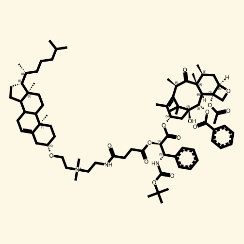 CC(=O)O[C@@]12CO[C@@H]1C[C@H](C)[C@@]1(C)C(=O)[C@H](C)C3=C(C)[C@@H](OC(=O)[C@H](OC(=O)CCC(=O)NCC[N+](C)(C)CCO[C@H]4CC[C@@]5(C)C(=CCC6C5CC[C@@]5(C)C6CC[C@@H]5[C@H](C)CCCC(C)C)C4)[C@@H](NC(=O)OC(C)(C)C)c4ccccc4)C[C@@](O)([C@@H](OC(=O)c4ccccc4)[C@H]21)C3(C)C